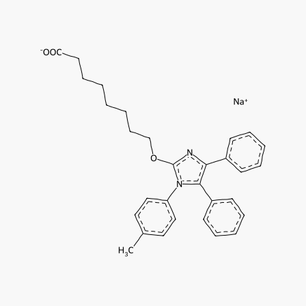 Cc1ccc(-n2c(OCCCCCCCC(=O)[O-])nc(-c3ccccc3)c2-c2ccccc2)cc1.[Na+]